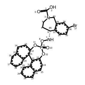 O=C(O)N1CC[C@@H](NOP2(=O)Oc3ccc4ccccc4c3-c3c(ccc4ccccc34)O2)c2ccc(Br)cc2C1